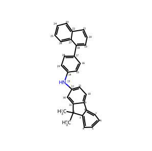 CC1(C)c2ccccc2-c2ccc(Nc3ccc(-c4cccc5ccccc45)cc3)cc21